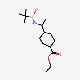 CCOC(=O)C1CCC(C(C)N[S@+]([O-])C(C)(C)C)CC1